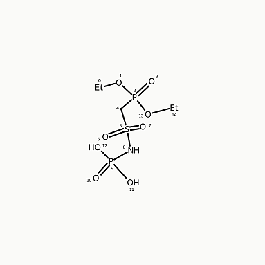 CCOP(=O)(CS(=O)(=O)NP(=O)(O)O)OCC